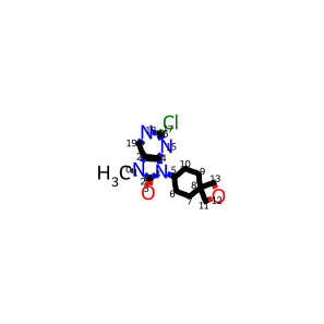 Cn1c(=O)n(C2CCC3(CC2)COC3)c2nc(Cl)ncc21